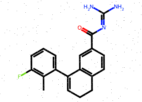 Cc1c(F)cccc1C1=CCCc2ccc(C(=O)N=C(N)N)cc21